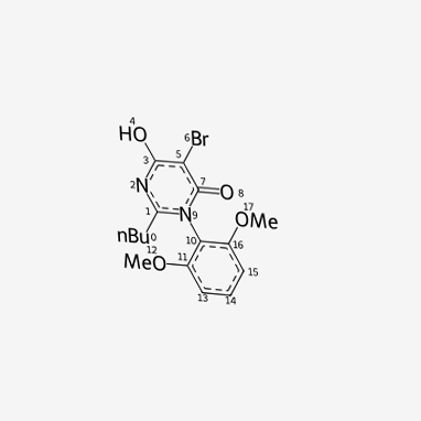 CCCCc1nc(O)c(Br)c(=O)n1-c1c(OC)cccc1OC